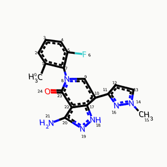 Cc1cccc(F)c1-n1cc(-c2ccn(C)n2)c2[nH]nc(N)c2c1=O